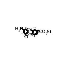 CCOC(=O)Cc1ccc(Oc2ccc(N)cc2Cl)c(Cl)c1